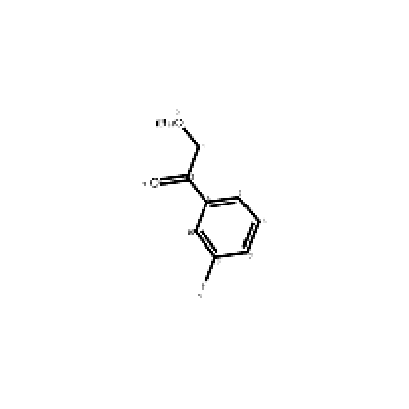 CC(C)COCC(=O)c1cccc(F)c1